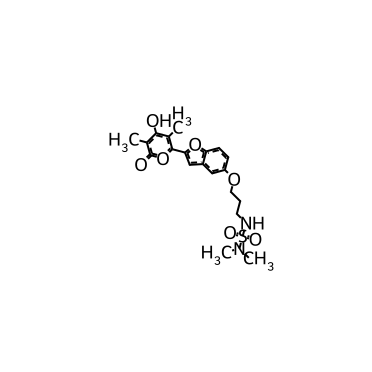 Cc1c(-c2cc3cc(OCCCNS(=O)(=O)N(C)C)ccc3o2)oc(=O)c(C)c1O